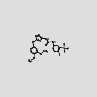 COc1ccc(Oc2nnc(NC(=O)Nc3ccc(F)c(C(F)(F)F)c3)s2)cc1OC